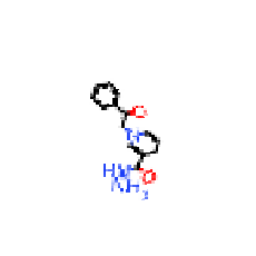 NNC(=O)C1=CN(CC(=O)c2ccccc2)C=CC1